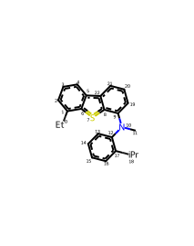 CCc1cccc2c1sc1c(N(C)c3ccccc3C(C)C)cccc12